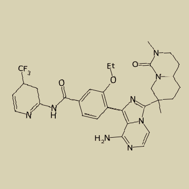 CCOc1cc(C(=O)NC2=NC=CC(C(F)(F)F)C2)ccc1-c1nc(C2(C)CCC3CCN(C)C(=O)N3C2)n2ccnc(N)c12